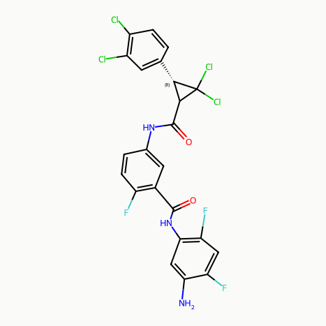 Nc1cc(NC(=O)c2cc(NC(=O)C3[C@H](c4ccc(Cl)c(Cl)c4)C3(Cl)Cl)ccc2F)c(F)cc1F